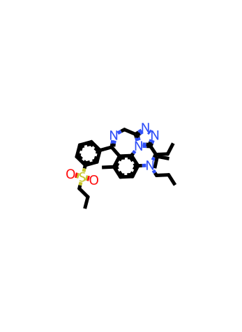 CCCN(CCC)c1ccc(C)c2c1-n1c(nnc1C(C)C)CN=C2c1cccc(S(=O)(=O)CCC)c1